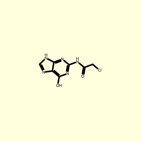 O=C(CCl)Nc1nc(O)c2nc[nH]c2n1